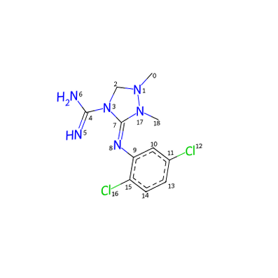 CN1CN(C(=N)N)C(=Nc2cc(Cl)ccc2Cl)N1C